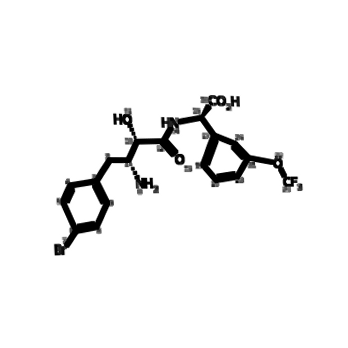 N[C@H](Cc1ccc(Br)cc1)[C@H](O)C(=O)N[C@@H](C(=O)O)c1cccc(OC(F)(F)F)c1